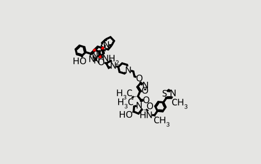 Cc1ncsc1-c1ccc([C@H](C)NC(=O)[C@@H]2C[C@@H](O)CN2C(=O)[C@@H](c2cc(OCCN3CCC(N4CC(Oc5cc(N6C7CCC6CN(c6cc(-c8ccccc8O)nnc6N)C7)ccn5)C4)CC3)no2)C(C)C)cc1